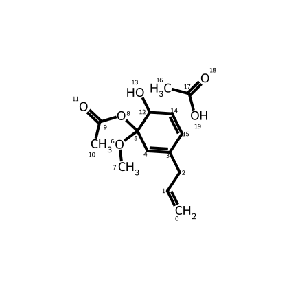 C=CCC1=CC(OC)(OC(C)=O)C(O)C=C1.CC(=O)O